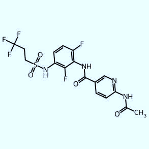 CC(=O)Nc1ccc(C(=O)Nc2c(F)ccc(NS(=O)(=O)CCC(F)(F)F)c2F)cn1